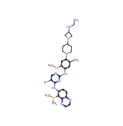 CCNC1CN(C2CCN(c3cc(OC)c(Nc4ncc(Br)c(Nc5ccc6nccnc6c5P(C)C)n4)cc3C)CC2)C1